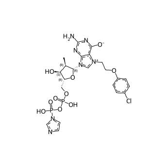 C[C@@H]1[C@H](O)[C@@H](COP(=O)(O)OP(=O)(O)n2ccnc2)O[C@H]1n1c[n+](CCOc2ccc(Cl)cc2)c2c([O-])nc(N)nc21